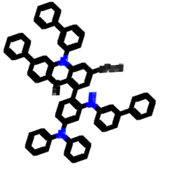 CCCCCc1cc(-c2ccc(N(c3ccccc3)c3ccccc3)cc2Nc2cccc(-c3ccccc3)c2)c2c(c1)N(c1cccc(-c3ccccc3)c1)c1cc(-c3ccccc3)ccc1B2